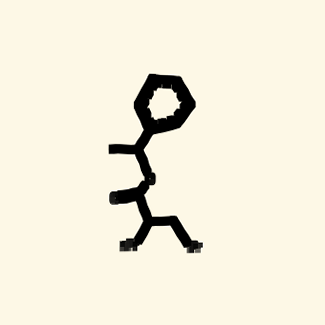 CCCC(CC(C)C)C(=O)OC(C)c1ccccc1